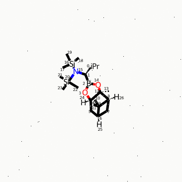 CC(C)[C@@H](B1O[C@@H]2C[C@@H]3C[C@@H](C3(C)C)[C@]2(C)O1)N([Si](C)(C)C)[Si](C)(C)C